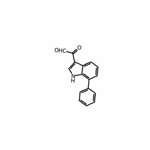 O=CC(=O)c1c[nH]c2c(-c3ccccc3)cccc12